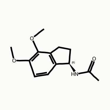 COc1ccc2c(c1OC)CC[C@H]2NC(C)=O